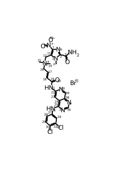 Cn1c(C(N)=O)nc([N+](=O)[O-])c1C[N+](C)(C)C/C=C/C(=O)Nc1cc2c(Nc3ccc(Cl)c(Cl)c3)ncnc2cn1.[Br-]